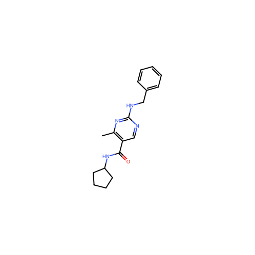 Cc1nc(NCc2ccccc2)ncc1C(=O)NC1CCCC1